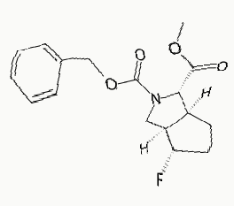 COC(=O)[C@@H]1[C@H]2CC[C@H](F)[C@H]2CN1C(=O)OCc1ccccc1